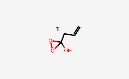 C=CCC1(O)OO1.[Ti]